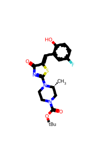 C[C@@H]1CN(C(=O)OC(C)(C)C)CCN1C1=NC(=O)/C(=C/c2cc(F)ccc2O)S1